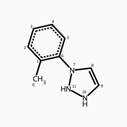 Cc1cc[c]cc1N1C=CNN1